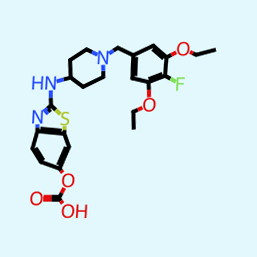 CCOc1cc(CN2CCC(Nc3nc4ccc(OC(=O)O)cc4s3)CC2)cc(OCC)c1F